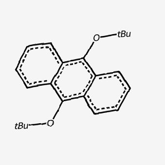 CC(C)(C)Oc1c2ccccc2c(OC(C)(C)C)c2ccccc12